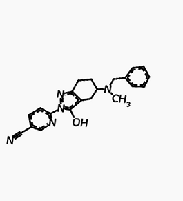 CN(Cc1ccccc1)C1CCc2nn(-c3ccc(C#N)cn3)c(O)c2C1